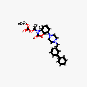 CCCCCCCCCCOC(=O)OC(C)n1c(=O)oc2c(N3CCN(Cc4cccc(-c5ccccc5)c4)CC3)cccc21